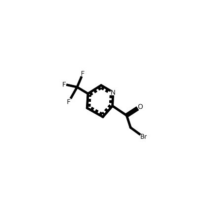 O=C(CBr)c1ccc(C(F)(F)F)cn1